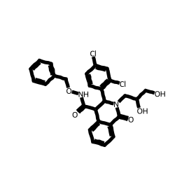 O=C(NOCc1ccccc1)C1c2ccccc2C(=O)N(CC(O)CO)C1c1ccc(Cl)cc1Cl